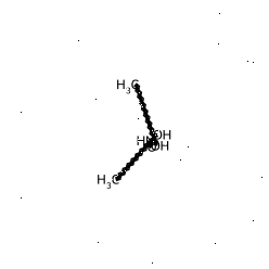 CCCCCCCCCCCCCCCCCC(O)C(CO)NC(=O)CCCCCCCCCCCCCCC